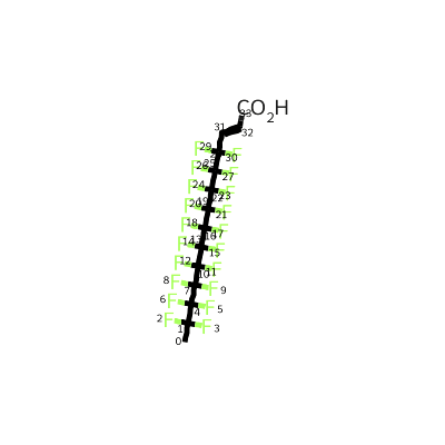 CC(F)(F)C(F)(F)C(F)(F)C(F)(F)C(F)(F)C(F)(F)C(F)(F)C(F)(F)C(F)(F)C(F)(F)C=CC(=O)O